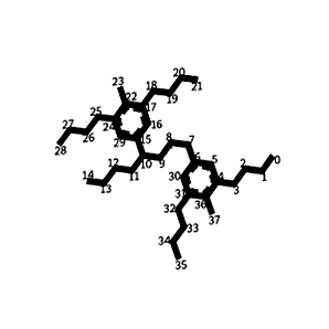 CCCCc1cc(C[CH]CC(CCCC)c2cc(CCCC)c(C)c(CCCC)c2)cc(CCCC)c1C